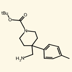 Cc1ccc(C2(CN)CCN(C(=O)OC(C)(C)C)CC2)cc1